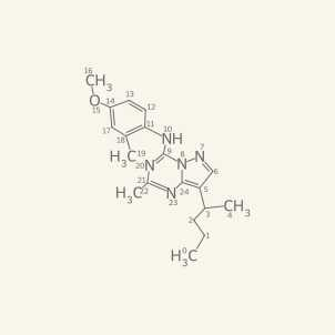 CCCC(C)c1cnn2c(Nc3ccc(OC)cc3C)nc(C)nc12